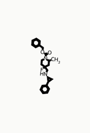 CC1CC(F)(CN[C@@H]2CC2c2ccccc2)CCN1C(=O)OCc1ccccc1